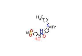 CCS(=O)(=O)c1ccc([C@H](CO)NC(=O)c2ccc3c(c2)CN(C[C@H]2CC[C@H](C)CC2)[C@@H]3C(C)C)cc1